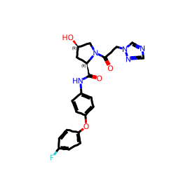 O=C(Nc1ccc(Oc2ccc(F)cc2)cc1)[C@H]1C[C@@H](O)CN1C(=O)Cn1cncn1